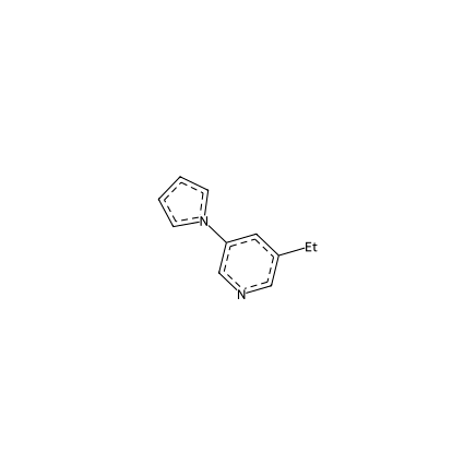 CCc1cncc(-n2cccc2)c1